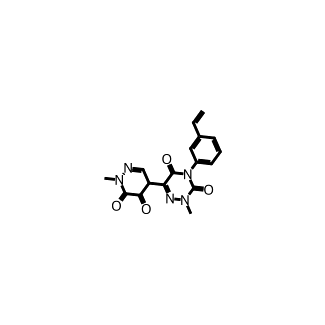 C=Cc1cccc(-n2c(=O)c(C3C=NN(C)C(=O)C3=O)nn(C)c2=O)c1